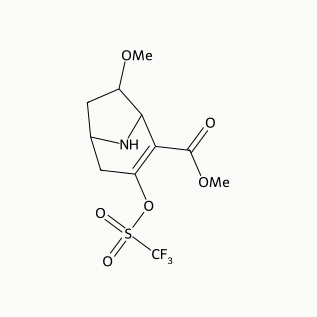 COC(=O)C1=C(OS(=O)(=O)C(F)(F)F)CC2CC(OC)C1N2